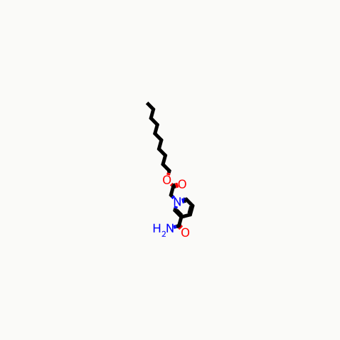 CCCCCCCCCCOC(=O)C[n+]1cccc(C(N)=O)c1